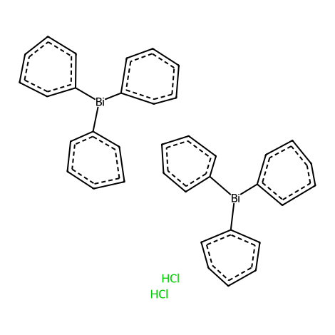 Cl.Cl.c1cc[c]([Bi]([c]2ccccc2)[c]2ccccc2)cc1.c1cc[c]([Bi]([c]2ccccc2)[c]2ccccc2)cc1